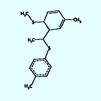 CSC1C=CC(C)=CC1C(C)Sc1ccc(C)cc1